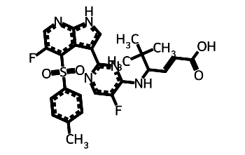 Cc1ccc(S(=O)(=O)c2c(F)cnc3[nH]cc(-c4ncc(F)c(NC(C=CC(=O)O)C(C)(C)C)n4)c23)cc1